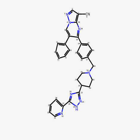 N#Cc1cnn2cc(-c3ccccc3)c(-c3ccc(CN4CCC(c5n[nH]c(-c6ccccn6)n5)CC4)cc3)nc12